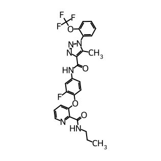 CCCNC(=O)c1ncccc1Oc1ccc(NC(=O)c2nnn(-c3ccccc3OC(F)(F)F)c2C)cc1F